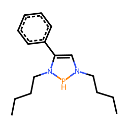 CCCCN1C=C(c2ccccc2)N(CCCC)P1